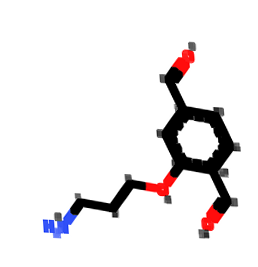 NCCCOc1cc(C=O)ccc1C=O